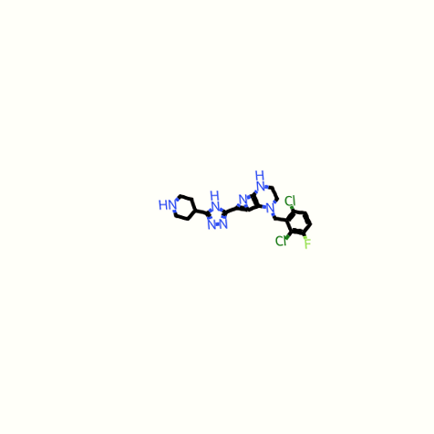 Fc1ccc(Cl)c(CN2CCNc3c2c2c(-c4nnc(C5CCNCC5)[nH]4)n3-2)c1Cl